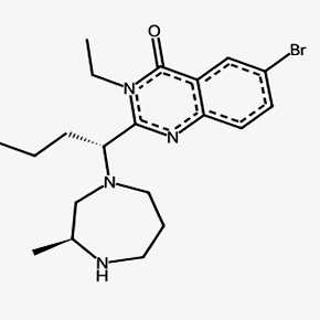 CCC[C@H](c1nc2ccc(Br)cc2c(=O)n1CC)N1CCCN[C@@H](C)C1